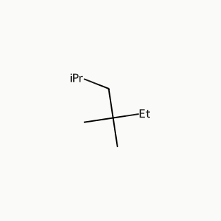 [CH2]C(C)CC(C)(C)CC